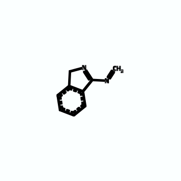 C=NC1=NCc2ccccc21